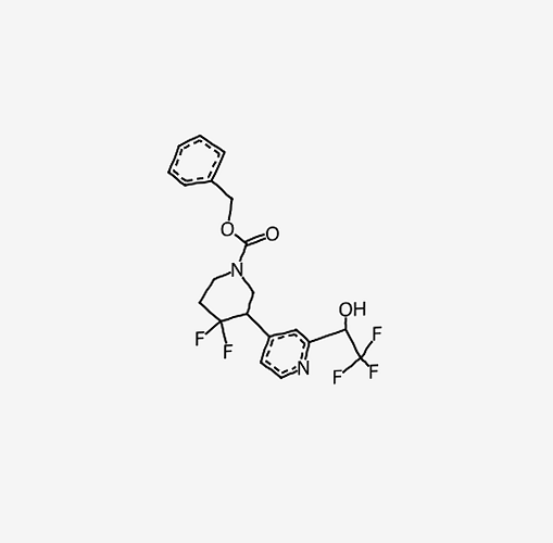 O=C(OCc1ccccc1)N1CCC(F)(F)C(c2ccnc(C(O)C(F)(F)F)c2)C1